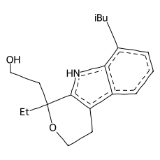 CCC(C)c1cccc2c3c([nH]c12)C(CC)(CCO)OCC3